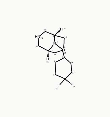 FC1(F)CCC(CN2[C@@H]3CNC[C@H]2COC3)CC1